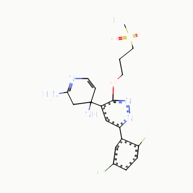 CS(=O)(=O)CCCOc1nnc(-c2cc(Cl)ccc2F)cc1C1(N)C=CN=C(N)C1